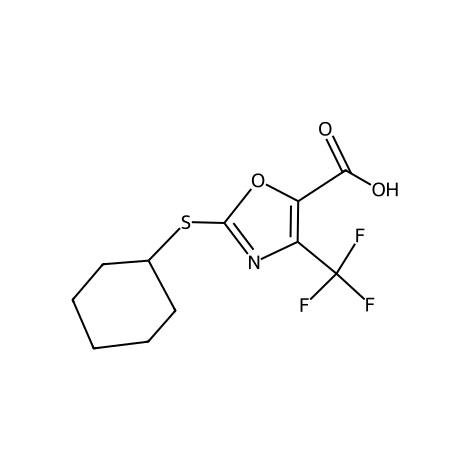 O=C(O)c1oc(SC2CCCCC2)nc1C(F)(F)F